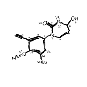 C#Cc1cc(N2C=CC(O)NC2=O)cc(C(C)(C)C)c1OC